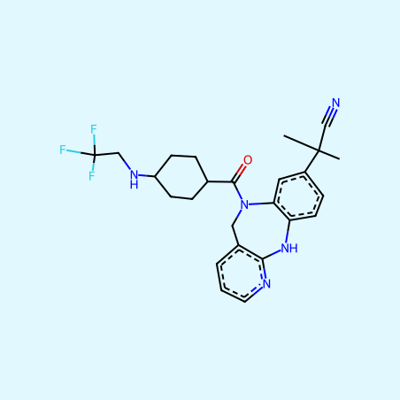 CC(C)(C#N)c1ccc2c(c1)N(C(=O)C1CCC(NCC(F)(F)F)CC1)Cc1cccnc1N2